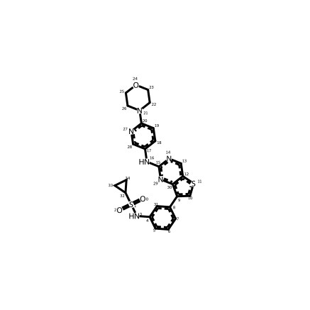 O=S(=O)(Nc1cccc(-c2csc3cnc(Nc4ccc(N5CCOCC5)nc4)nc23)c1)C1CC1